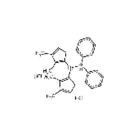 CC1=CC[C]([Hf]([C]2=C(C)C(C)=CC2)[SiH](c2ccccc2)c2ccccc2)=C1C.Cl.Cl